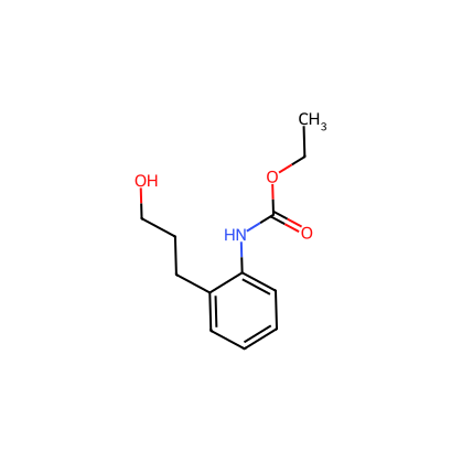 CCOC(=O)Nc1ccccc1CCCO